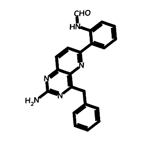 Nc1nc(Cc2ccccc2)c2nc(-c3ccccc3NC=O)ccc2n1